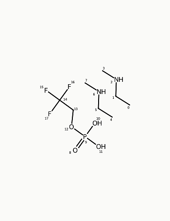 CCNC.CCNC.O=P(O)(O)OCC(F)(F)F